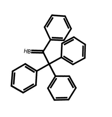 B=C(c1ccccc1)C(c1ccccc1)(c1ccccc1)c1ccccc1